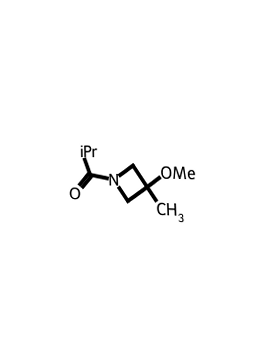 COC1(C)CN(C(=O)C(C)C)C1